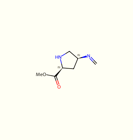 C=N[C@@H]1CN[C@H](C(=O)OC)C1